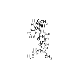 C=CCCC(NC(=O)[C@@H]1CCCN1C(=O)C(NC(=O)NC(C)(C)C)C1CCCCC1)C(=O)C(=O)NCC=C